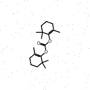 CC1=C(OC(=O)OC2=C(C)CCCC2(C)C)C(C)(C)CCC1